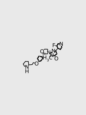 Cn1c(N2CCO[C@@H](c3ccc(OCCC4CCCCN4)cc3)C2)nc(-c2ccncc2F)cc1=O